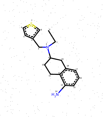 CCN(Cc1ccsc1)C1CCc2c(N)cccc2C1